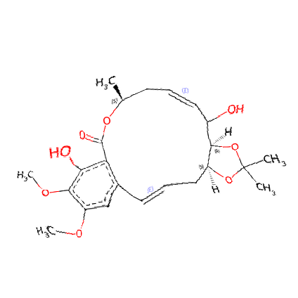 COc1cc2c(c(O)c1OC)C(=O)O[C@@H](C)C/C=C\C(O)[C@H]1OC(C)(C)O[C@H]1C/C=C/2